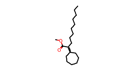 CCCCCCCCCC(C(=O)OC)=C1CCCCCC1